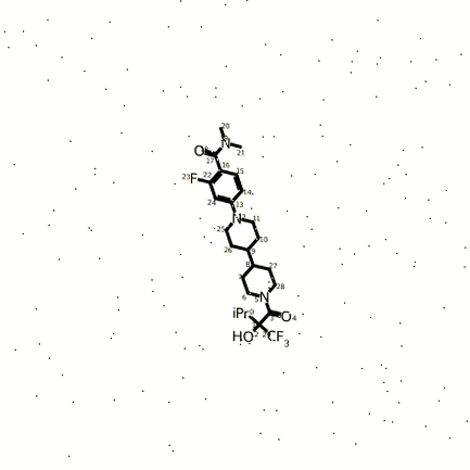 CC(C)C(O)(C(=O)N1CCC(C2CCN(c3ccc(C(=O)N(C)C)c(F)c3)CC2)CC1)C(F)(F)F